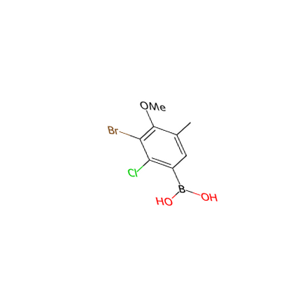 COc1c(C)cc(B(O)O)c(Cl)c1Br